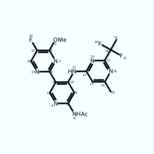 COc1nc(-c2cnc(NC(C)=O)cc2Nc2cc(C)nc(C(C)(F)F)n2)ncc1F